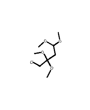 CO[C](CC(CCl)(OC)OC)OC